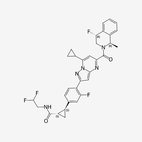 C[C@@H]1c2ccccc2[C@@H](F)CN1C(=O)c1cc(C2CC2)n2nc(-c3ccc([C@H]4C[C@@H]4C(=O)NCC(F)F)cc3F)cc2n1